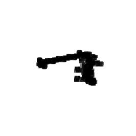 CC[C@H](C)[C@@H]([C@@H](CC(=O)N1CCC[C@H]1[C@H](OC)[C@@H](C)C(=O)N[C@@H](Cc1ccccc1)C(=O)OC)OC)N(C)C(=O)[C@@H](NC(=O)C(C)(C)CNC(=O)CCOCCOCCOCCOCCOCCOCCN1C(=O)C=CC1=O)C(C)C